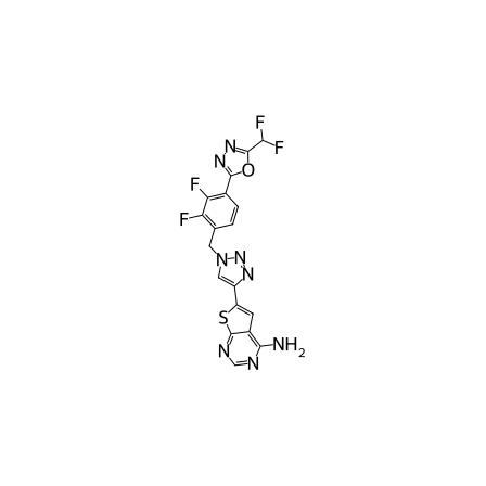 Nc1ncnc2sc(-c3cn(Cc4ccc(-c5nnc(C(F)F)o5)c(F)c4F)nn3)cc12